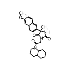 COc1ccc2cc(C3(C)NC(=O)N(CC(=O)N4CCCC5CCCCC54)C3=O)ccc2c1